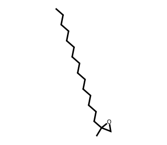 CCCCCCCCCCCCCCCC1(C)CO1